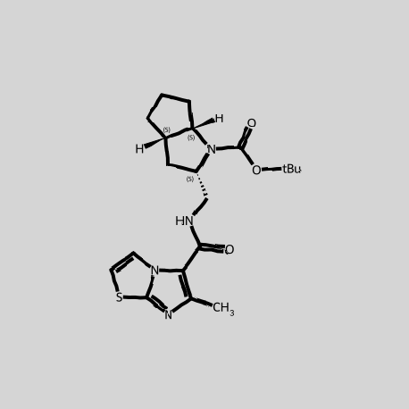 Cc1nc2sccn2c1C(=O)NC[C@@H]1C[C@@H]2CCC[C@@H]2N1C(=O)OC(C)(C)C